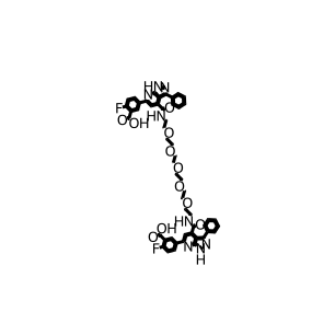 O=C(O)c1cc(-c2cc(C(=O)NCCOCCOCCOCCOCCOCCNC(=O)c3cc(-c4ccc(F)c(C(=O)O)c4)nc4[nH]nc(-c5ccccc5)c34)c3c(-c4ccccc4)n[nH]c3n2)ccc1F